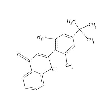 Cc1cc(C(C)(C)C)cc(C)c1-c1cc(=O)c2ccccc2[nH]1